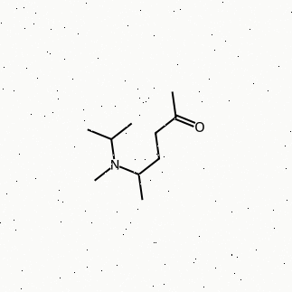 CC(=O)CCC(C)N(C)C(C)C